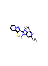 CCSc1c(-c2nc3cc(C(F)(F)F)ncc3n2C)nn2ccccc12